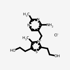 Cc1ncc(C[n+]2c(CCO)sc(CCO)c2C)c(N)n1.[Cl-]